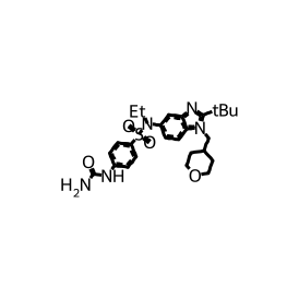 CCN(c1ccc2c(c1)nc(C(C)(C)C)n2CC1CCOCC1)S(=O)(=O)c1ccc(NC(N)=O)cc1